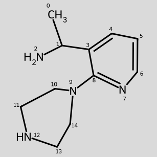 CC(N)c1cccnc1N1CCNCC1